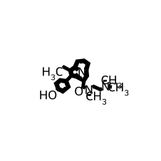 CCc1c(-c2ccc(O)cc2)c2c(C(=O)N(C)CCN(C)C)cc3cccc1n32